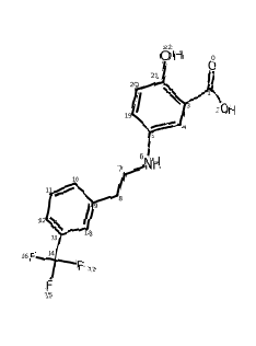 O=C(O)c1cc(NCCc2cccc(C(F)(F)F)c2)ccc1O